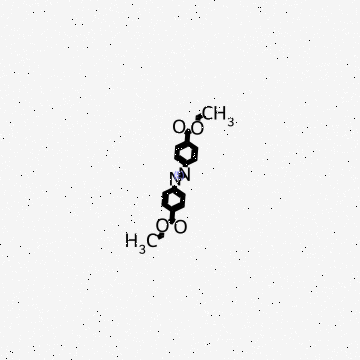 CCOC(=O)c1ccc(/N=N/c2ccc(C(=O)OCC)cc2)cc1